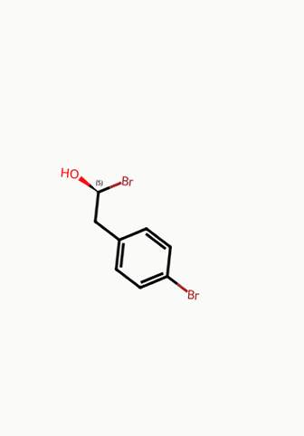 O[C@@H](Br)Cc1ccc(Br)cc1